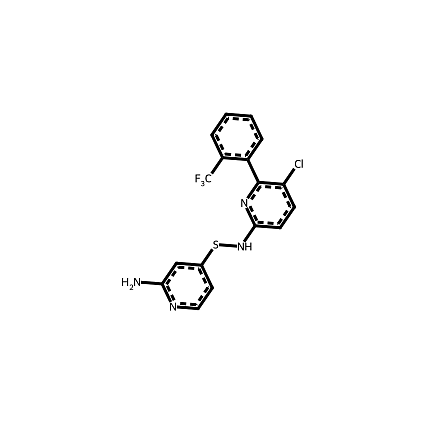 Nc1cc(SNc2ccc(Cl)c(-c3ccccc3C(F)(F)F)n2)ccn1